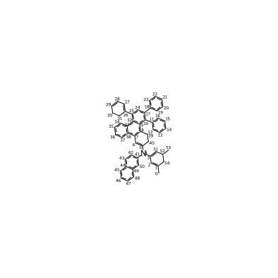 CC1=CC(N(C2=Cc3c(c4c(-c5ccccc5)c(-c5ccccc5)cc(C5=CC=CCC5)c4c4ccccc34)CC2)c2ccc3ccccc3c2)=CC(C)C1